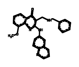 COc1cccn2c(=O)c(CNCc3ccccc3)c(Nc3ccc4ncccc4c3)nc12